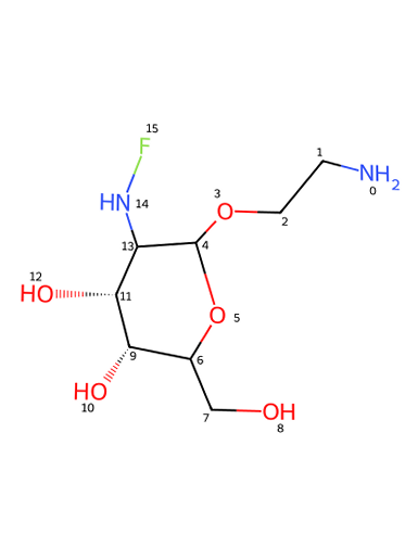 NCCOC1OC(CO)[C@H](O)[C@H](O)C1NF